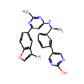 Cc1nc(N[C@@H](C)c2cccc(-c3cnc(O)nc3)c2)cc(-c2ccc3occ(C)c3c2)n1